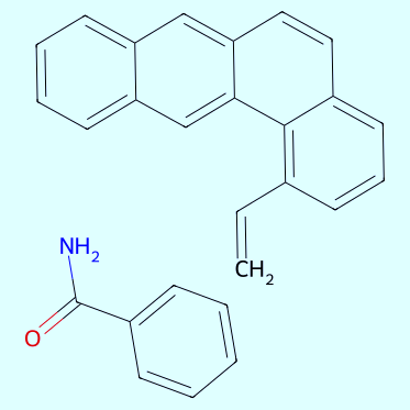 C=Cc1cccc2ccc3cc4ccccc4cc3c12.NC(=O)c1ccccc1